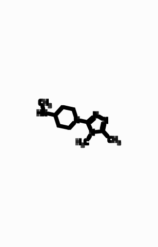 CNC1CCN(c2nnc(C)n2C)CC1